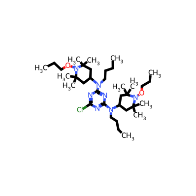 CCCCN(c1nc(Cl)nc(N(CCCC)C2CC(C)(C)N(OCCC)C(C)(C)C2)n1)C1CC(C)(C)N(OCCC)C(C)(C)C1